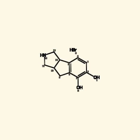 Br.Oc1ccc2c(c1O)CC1CNCC21